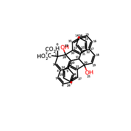 O=C(O)C1(C(=O)O)C=c2ccccc2=C(C2c3ccccc3C=CC2(O)c2ccccc2)C1(O)c1ccccc1